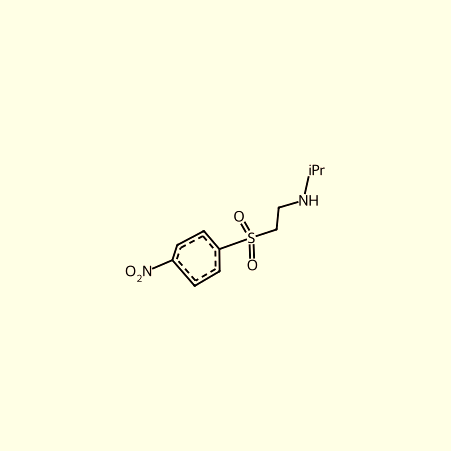 CC(C)NCCS(=O)(=O)c1ccc([N+](=O)[O-])cc1